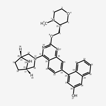 CN1CCOC[C@H]1COc1nc(N2C[C@H]3CC[C@@H](C2)N3)c2ccc(-c3cc(O)cc4ccccc34)cc2n1